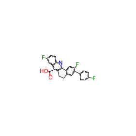 O=C(O)c1c2c(nc3ccc(F)cc13)-c1cc(F)c(-c3ccc(F)cc3)cc1CC2